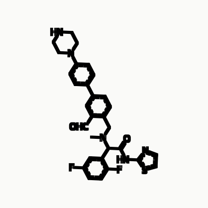 CN(Cc1ccc(-c2ccc(N3CCNCC3)cc2)cc1C=O)C(C(=O)Nc1nccs1)c1cc(F)ccc1F